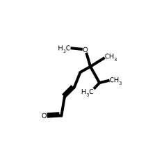 COC(C)(CC=CC=O)C(C)C